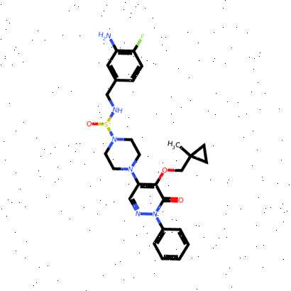 CC1(COc2c(N3CCN([S+]([O-])NCc4ccc(F)c(N)c4)CC3)cnn(-c3ccccc3)c2=O)CC1